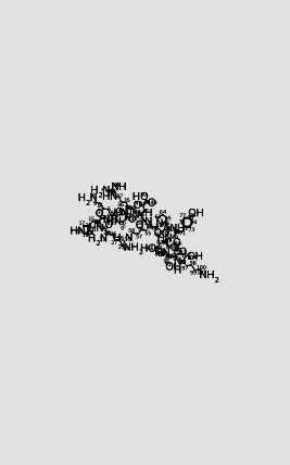 C[C@H](NC(=O)[C@H](CCCCN)NC(=O)[C@H](Cc1c[nH]cn1)NC(=O)[C@@H](N)CCCCN)C(=O)N[C@@H](CCCNC(=N)N)C(=O)N[C@@H](CCC(=O)O)C(=O)N[C@@H](CCCCN)C(=O)N1CCC[C@H]1C(=O)N[C@@H](Cc1ccc(O)cc1)C(=O)N[C@@H](CC(=O)O)C(=O)N[C@@H](CO)C(=O)N[C@@H](CCCCN)C(=O)O